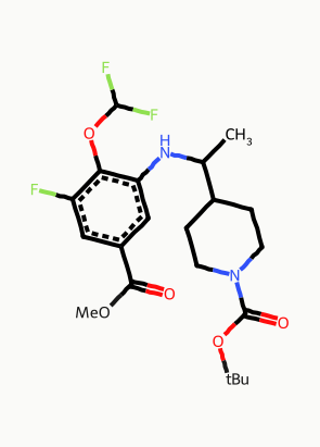 COC(=O)c1cc(F)c(OC(F)F)c(NC(C)C2CCN(C(=O)OC(C)(C)C)CC2)c1